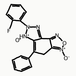 [O-][n+]1onc2c1CC(c1ccccc1)=C1C2=NN(c2ccccc2F)[NH+]1[O-]